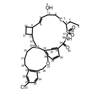 CC[C@@H]1CC[C@@H](O)/C=C/C2CCC2CN2CCCCc3cc(Cl)ccc3COc3ccc(cc32)C(=O)NS1(=O)=O